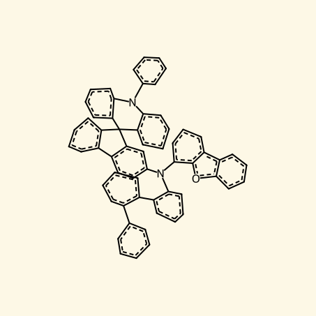 c1ccc(-c2ccccc2-c2ccccc2N(c2ccc3c(c2)C2(c4ccccc4-3)c3ccccc3N(c3ccccc3)c3ccccc32)c2cccc3c2oc2ccccc23)cc1